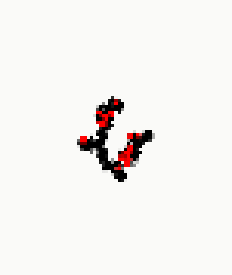 c1ccc(-c2nc(-c3ccc(-c4cccc(-c5nc(-c6ccccc6)nc(-c6ccc7c(c6)C6(c8ccccc8Sc8ccccc86)c6cc(-c8ccc(-c9ccccc9)c9cccnc89)ccc6-7)n5)c4)cc3)nc(-c3ccc(-c4ccc5c(c4)C4(c6ccccc6Sc6ccccc64)c4cc(-c6cccc7cccnc67)ccc4-5)cc3)n2)cc1